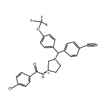 N#Cc1ccc(C(c2ccc(OC(F)(F)F)cc2)N2CC[C@@H](NC(=O)c3ccc(Cl)cc3)C2)cc1